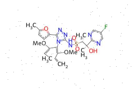 C=C/C(OC)=C(\C(=C/C)OC)n1c(NS(=O)(=O)[C@H](C)[C@](C)(O)c2ncc(F)cn2)nnc1-c1ccc(C)o1